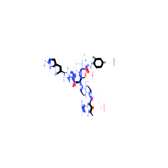 CCc1c(N2CCN(C(=O)c3ncnc(C)c3O)CC2)c(=O)n2nc(-c3cnc4c(ccn4C)c3)nc2n1CC(=O)Nc1ccc(C(F)(F)F)cc1Cl